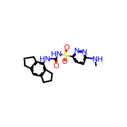 CNc1ccc(S(=O)(=O)NC(=O)Nc2c3c(cc4c2CCC4)CCC3)nn1